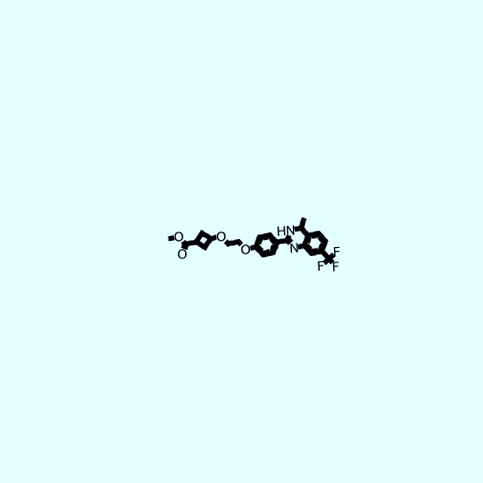 COC(=O)C1CC(OCCOc2ccc(C3=Nc4cc(C(F)(F)F)ccc4C(C)N3)cc2)C1